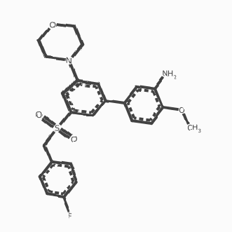 COc1ccc(-c2cc(N3CCOCC3)cc(S(=O)(=O)Cc3ccc(F)cc3)c2)cc1N